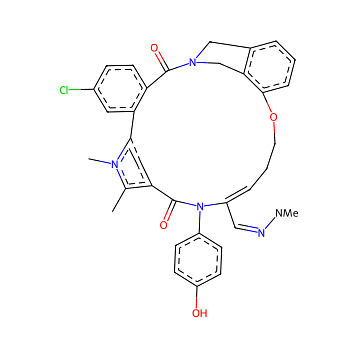 CN/N=C\C1=C\CCOc2cccc3c2CN(C3)C(=O)c2ccc(Cl)cc2-c2cc(c(C)n2C)C(=O)N1c1ccc(O)cc1